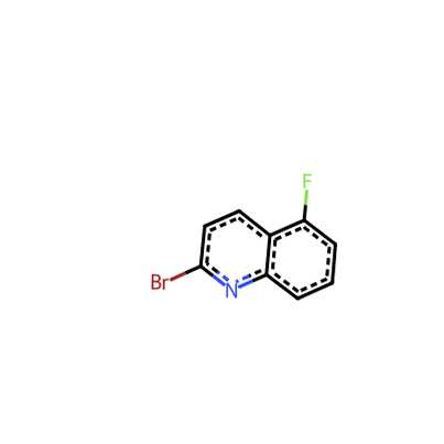 Fc1cccc2nc(Br)ccc12